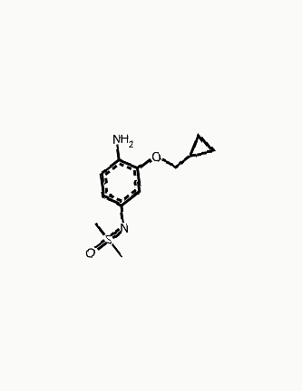 CS(C)(=O)=Nc1ccc(N)c(OCC2CC2)c1